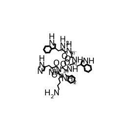 C[C@@H](NC(=O)[C@@H](N)Cc1c[nH]c2ccccc12)C(=O)N[C@H](Cc1c[nH]c2ccccc12)C(=O)N[C@H](Cc1ccccc1)C(=O)N(C(=O)[C@@H](N)Cc1cnc[nH]1)C(=O)[C@@](C)(N)CCCCN